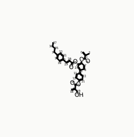 C=C(C)C(=O)Oc1ccc(-c2ccc(OC(=O)C(=C)CO)cc2)cc1OC(=O)/C=C/c1ccc(CCCC)cc1